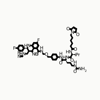 CC(C)[C@H](NC(=O)CCCCCN1C(=O)C=CC1=O)C(=O)N[C@@H](CCCNC(N)=O)C(=O)Nc1ccc(COCNC(=O)c2cc(F)cc3c2C(=N)C(CNC=N)[C@@H](c2ccc(F)cc2)N3)cc1